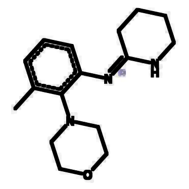 Cc1cccc(/N=C2\CCCCN2)c1N1CCOCC1